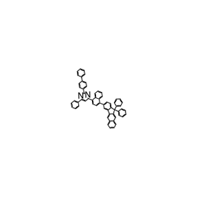 c1ccc(-c2ccc(-c3nc(-c4ccccc4)cc(-c4ccc(-c5ccc6c(c5)-c5cc7ccccc7cc5C6(c5ccccc5)c5ccccc5)c5ccccc45)n3)cc2)cc1